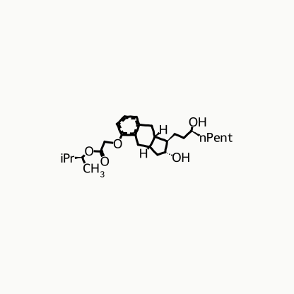 CCCCC[C@H](O)CC[C@@H]1[C@H]2Cc3cccc(OCC(=O)O[C@@H](C)C(C)C)c3C[C@H]2C[C@H]1O